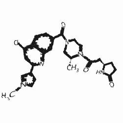 C[C@@H]1CN(C(=O)c2ccc3c(Cl)cc(-c4ccn(C)c4)nc3c2)CCN1C(=O)C[C@H]1CCC(=O)N1